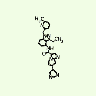 CCc1nn(Cc2cccc(C)n2)c2cccc(NC(=O)c3cnc4cc(-c5cncnc5)ccn34)c12